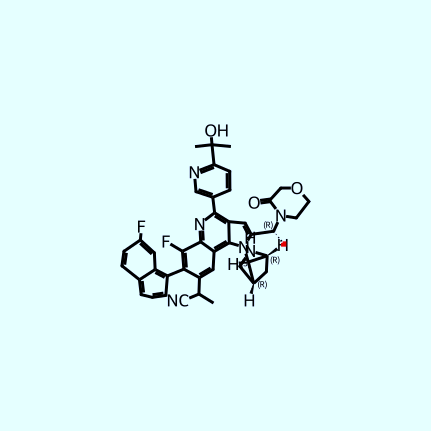 CC(C#N)c1cc2c(nc(-c3ccc(C(C)(C)O)nc3)c3cc([C@@H](C)N4CCOCC4=O)n([C@H]4[C@H]5CN[C@@H]4C5)c32)c(F)c1-c1cccc2ccc(F)cc12